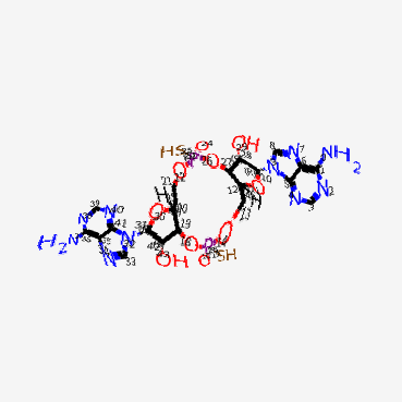 Nc1ncnc2c1ncn2[C@@H]1O[C@@H]2CO[P@](=O)(S)OC3[C@@H](CO[P@](=O)(S)OC2[C@@H]1O)O[C@@H](n1cnc2c(N)ncnc21)[C@H]3O